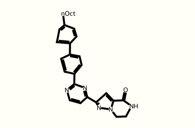 CCCCCCCCc1ccc(-c2ccc(-c3nccc(-c4cc5n(n4)CCNC5=O)n3)cc2)cc1